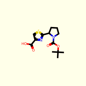 CC(C)(C)OC(=O)N1CCCC1c1nc(C(=O)O)cs1